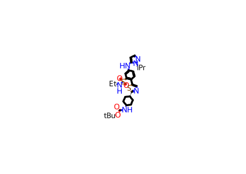 CCNS(=O)(=O)c1cc(Nc2ccnn2C(C)C)ccc1-c1cnc([C@H]2CC[C@H](NC(=O)OC(C)(C)C)CC2)s1